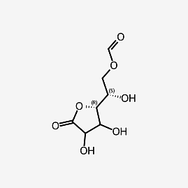 O=COC[C@H](O)[C@H]1OC(=O)C(O)C1O